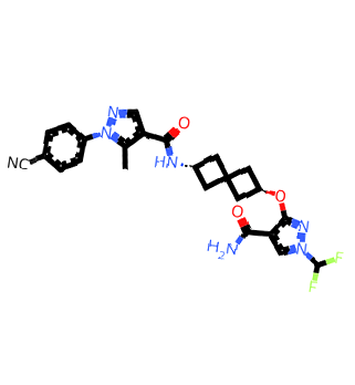 Cc1c(C(=O)N[C@H]2CC3(C2)C[C@H](Oc2nn(C(F)F)cc2C(N)=O)C3)cnn1-c1ccc(C#N)cc1